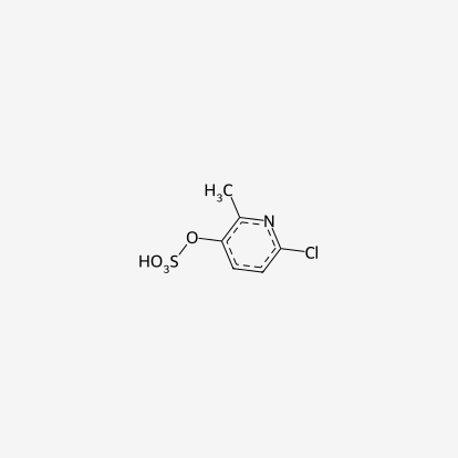 Cc1nc(Cl)ccc1OS(=O)(=O)O